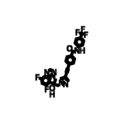 O=C(Nc1ccc(C(F)(F)F)cc1)c1ccc(C#Cc2cnn(CC(O)(Cn3cncn3)c3ccc(F)cc3F)c2)cc1